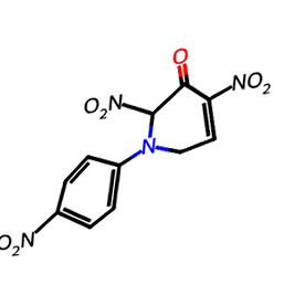 O=C1C([N+](=O)[O-])=CCN(c2ccc([N+](=O)[O-])cc2)C1[N+](=O)[O-]